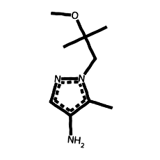 COC(C)(C)Cn1ncc(N)c1C